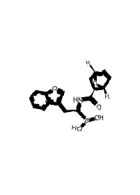 O=C(N[C@H](Cc1coc2ccccc12)B(O)O)[C@H]1C[C@@H]2CC[C@H]1O2